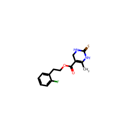 CC1=C(C(=O)OCCc2ccccc2F)CNC(=S)N1